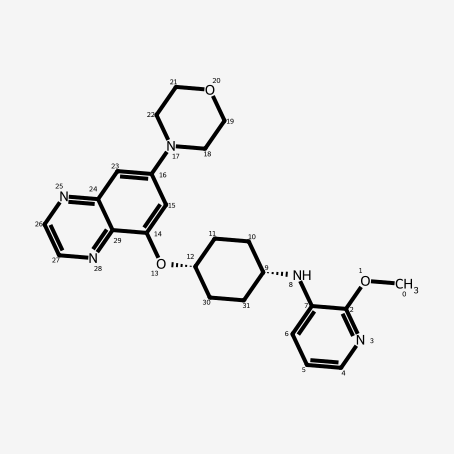 COc1ncccc1N[C@H]1CC[C@@H](Oc2cc(N3CCOCC3)cc3nccnc23)CC1